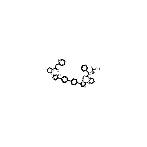 O=C(O)N[C@@H](C(=O)N1CCC[C@H]1c1ncc(-c2ccc(-c3ccc(-c4cnc([C@@H]5CCCN5C(=O)Cc5ccccn5)[nH]4)cc3)cc2)[nH]1)c1ccccc1